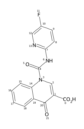 O=C(O)c1cn(C(=O)Nc2ccc(F)cn2)c2ccccc2c1=O